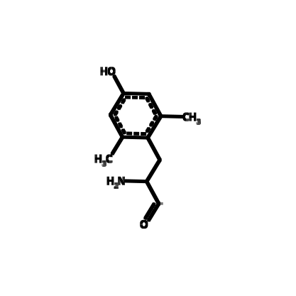 Cc1cc(O)cc(C)c1CC(N)[C]=O